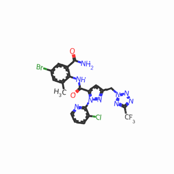 Cc1cc(Br)cc(C(N)=O)c1NC(=O)c1cc(Cn2nnc(C(F)(F)F)n2)nn1-c1ncccc1Cl